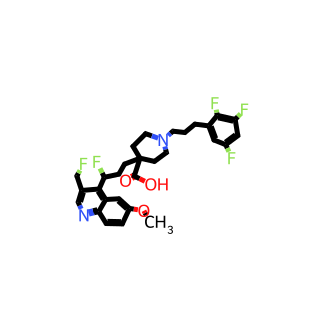 COc1ccc2ncc(CF)c(C(F)CCC3(C(=O)O)CCN(CCCc4cc(F)cc(F)c4F)CC3)c2c1